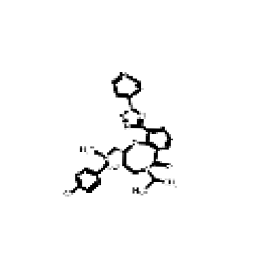 CC(C)N1C[C@H](C)[C@@H](CN(C)Cc2ccc(Cl)cc2)Oc2c(cccc2-c2nnn(-c3ccncc3)n2)C1=O